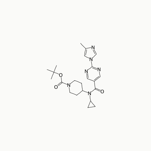 Cc1cn(-c2ncc(C(=O)N(C3CC3)C3CCN(C(=O)OC(C)(C)C)CC3)cn2)cn1